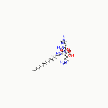 CCCCCCCCCCCCCCCCNCC(=O)N(C(=O)C(N)Cc1c[nH]cn1)C(CCCCN)C(=O)O